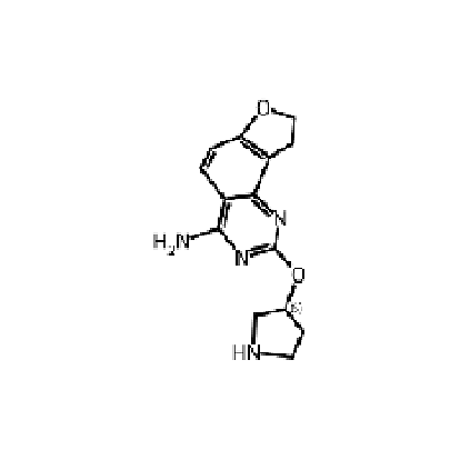 Nc1nc(O[C@H]2CCNC2)nc2c3c(ccc12)OCC3